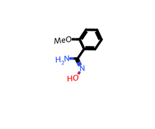 COc1ccccc1/C(N)=N/O